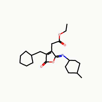 CCOC(=O)CC1=C(CC2CCCCC2)C(=O)O/C1=N\C1CCC(C)CC1